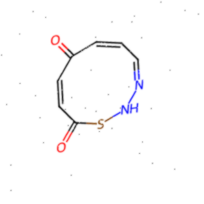 O=c1cccn[nH]sc(=O)cc1